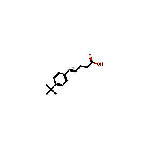 CC(C)(C)c1ccc(/C=C/CCC(=O)O)cc1